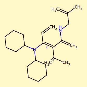 C=C/C(=C(/C(=C)C)C(=C)NCC(=C)C)N(C1CCCCC1)C1CCCCC1